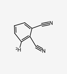 [2H]c1cccc(C#N)c1C#N